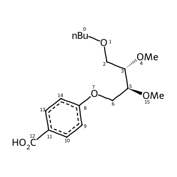 CCCCOC[C@H](OC)[C@H](COc1ccc(C(=O)O)cc1)OC